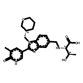 Cc1cc(-c2nc3cc(CN[C@H](C(=O)O)[C@@H](C)O)ccc3n2C[C@H]2CCCOC2)c[nH]c1=O